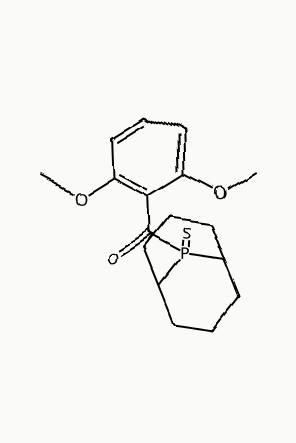 COc1cccc(OC)c1C(=O)P1(=S)C2CCCC1CCC2